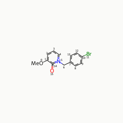 COc1cccn(Cc2ccc(Br)cc2)c1=O